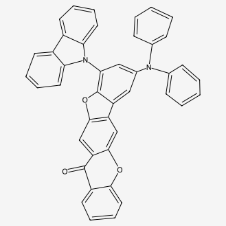 O=c1c2ccccc2oc2cc3c(cc12)oc1c(-n2c4ccccc4c4ccccc42)cc(N(c2ccccc2)c2ccccc2)cc13